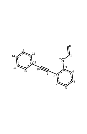 C=CSc1ccccc1C#Cc1ccccc1